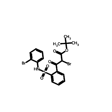 CC(C)(C)OC(=O)C(Br)C(=O)c1ccccc1S(=O)(=O)Nc1ccccc1Br